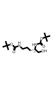 CC(C)(C)OC(=O)NCCC[C@@H](CO)NC(=O)OC(C)(C)C